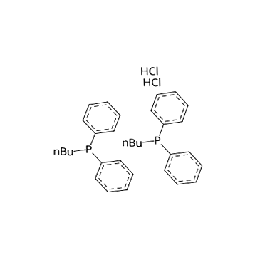 CCCCP(c1ccccc1)c1ccccc1.CCCCP(c1ccccc1)c1ccccc1.Cl.Cl